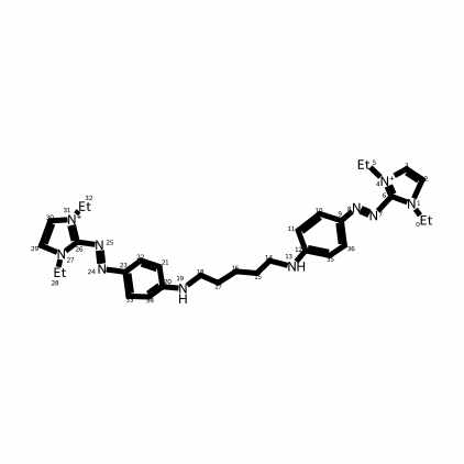 CCn1cc[n+](CC)c1N=Nc1ccc(NCCCCCNc2ccc(N=Nc3n(CC)cc[n+]3CC)cc2)cc1